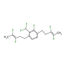 C/C(F)=C(\F)CCc1ccc(CC/C(F)=C(/C)F)c(C(F)F)c1F